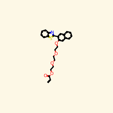 C=CC(=O)OCCOCCOCCOc1cc2ccccc2cc1-c1nc2ccccc2s1